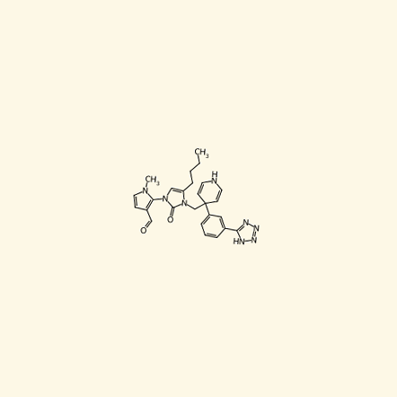 CCCCc1cn(-c2c(C=O)ccn2C)c(=O)n1CC1(c2cccc(-c3nnn[nH]3)c2)C=CNC=C1